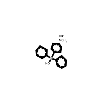 Br.O[Si](c1ccccc1)(c1ccccc1)c1ccccc1.[MgH2]